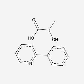 CC(O)C(=O)O.c1ccc(-c2ccccn2)cc1